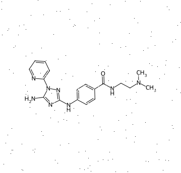 CN(C)CCNC(=O)c1ccc(Nc2nc(N)n(-c3ccccn3)n2)cc1